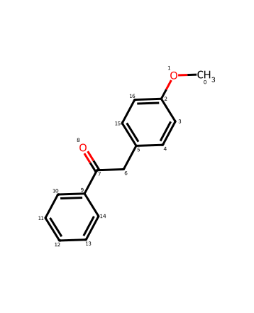 COc1ccc(CC(=O)c2ccccc2)cc1